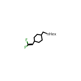 CCCCCCCC1CCC(C=C(F)F)CC1